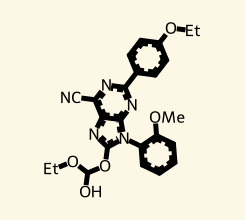 CCOc1ccc(-c2nc(C#N)c3nc(OC(O)OCC)n(-c4ccccc4OC)c3n2)cc1